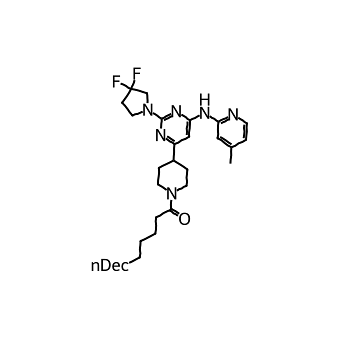 CCCCCCCCCCCCCCC(=O)N1CCC(c2cc(Nc3cc(C)ccn3)nc(N3CCC(F)(F)C3)n2)CC1